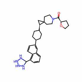 O=C([C@H]1CCCO1)N1CCC2(CC1)C[C@@H]2C1CCC(c2ccc3c(C4NNNN4)cccc3c2)CC1